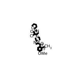 COc1ccc(C(=O)c2cnc3n2CCN(c2cnn(C4CCCCO4)c(=O)c2Cl)C3)c(C(C)(F)F)c1